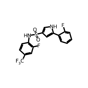 O=S(=O)(Nc1ccc(C(F)(F)F)cc1F)c1c[nH]c(-c2ccccc2F)c1